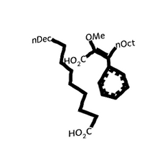 CCCCCCCCC(=C(OC)C(=O)O)c1ccccc1.CCCCCCCCCCCCCCCCCC(=O)O